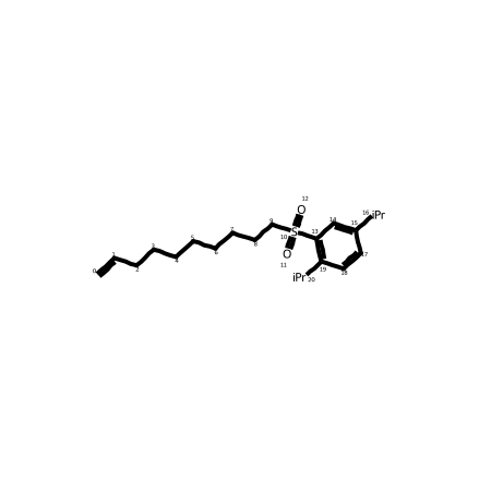 C=CCCCCCCCCS(=O)(=O)c1cc(C(C)C)ccc1C(C)C